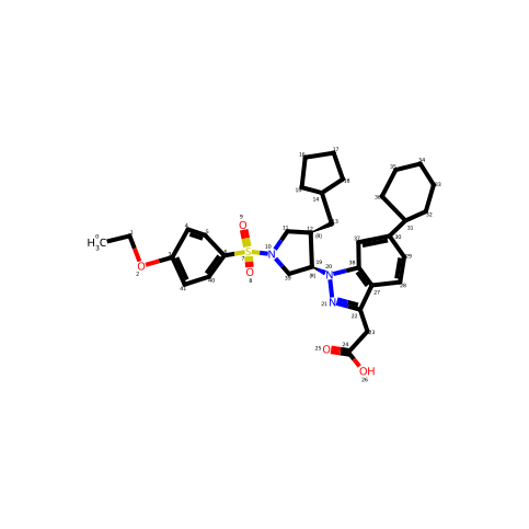 CCOc1ccc(S(=O)(=O)N2C[C@@H](CC3CCCC3)[C@@H](n3nc(CC(=O)O)c4ccc(C5CCCCC5)cc43)C2)cc1